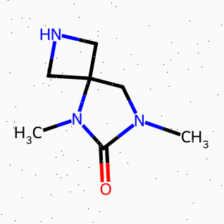 CN1CC2(CNC2)N(C)C1=O